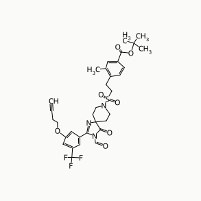 C#CCCOc1cc(C2=NC3(CCN(S(=O)(=O)CCc4ccc(C(=O)OC(C)(C)C)cc4C)CC3)C(=O)N2C=O)cc(C(F)(F)F)c1